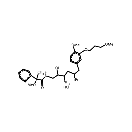 COCCCOc1cc(CC(CC(N)C(O)CNC(=O)[C@](C)(OC)c2ccccc2)C(C)C)ccc1OC.Cl